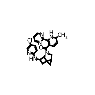 CC1C=CC(C(=O)N2CC3CC34CC(Nc3ccc(Cl)cn3)C24)=C(c2ncccn2)N1